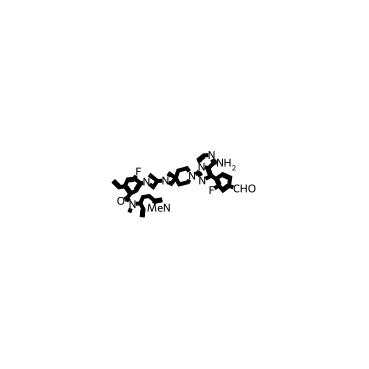 C=Cc1cc(F)c(N2CC(N3CC4(CCN(c5nc(-c6ccc(C=O)cc6F)c6c(N)nccn56)CC4)C3)C2)cc1C(=O)N(C)C(C=C)CCC(=C)NC